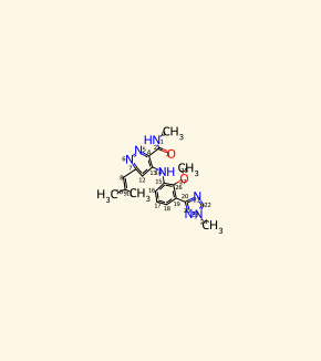 CNC(=O)c1nnc(C=C(C)C)cc1Nc1cccc(-c2ncn(C)n2)c1OC